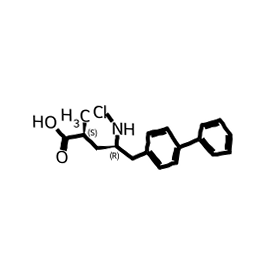 C[C@@H](C[C@H](Cc1ccc(-c2ccccc2)cc1)NCl)C(=O)O